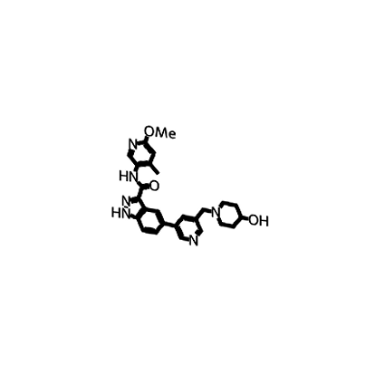 COc1cc(C)c(NC(=O)c2n[nH]c3ccc(-c4cncc(CN5CCC(O)CC5)c4)cc23)cn1